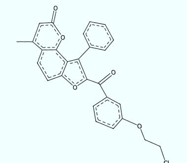 Cc1cc(=O)oc2c1ccc1oc(C(=O)c3cccc(OCCCl)c3)c(-c3ccccc3)c12